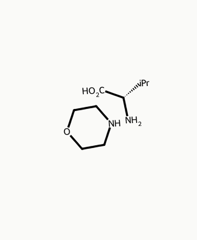 C1COCCN1.CC(C)[C@H](N)C(=O)O